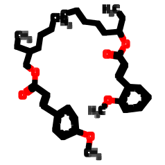 CCCCC(CC)COC(=O)/C=C/c1ccc(OC)cc1.CCCCCC(CC)OC(=O)/C=C/c1ccccc1OC